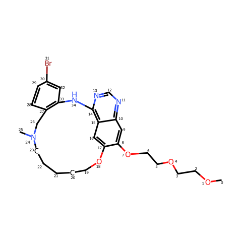 COCCOCCOc1cc2ncnc3c2cc1OCCCCCN(C)Cc1ccc(Br)cc1N3